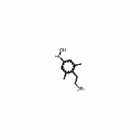 CC[C@H](C)CCc1c(C)cc(BO)cc1C